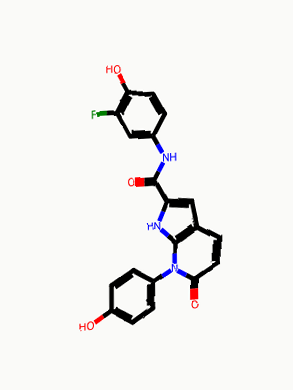 O=C(Nc1ccc(O)c(F)c1)c1cc2ccc(=O)n(-c3ccc(O)cc3)c2[nH]1